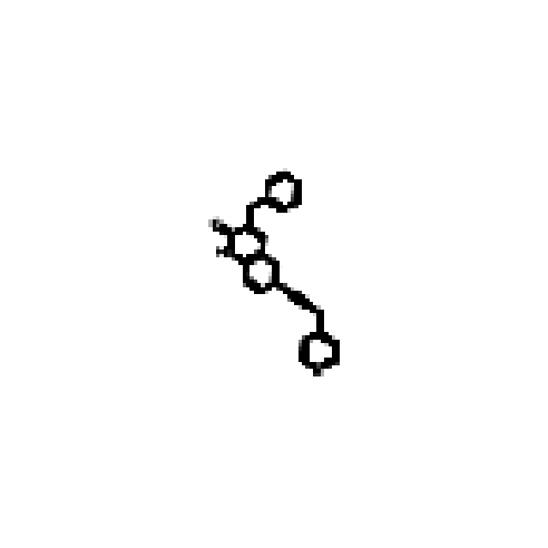 O=c1[nH]c2ccc(C#CCc3ccncc3)cc2cc1Cc1ccccc1